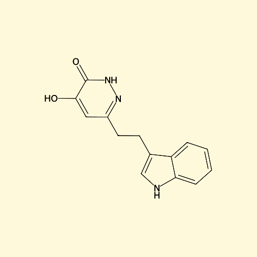 O=c1[nH]nc(CCc2c[nH]c3ccccc23)cc1O